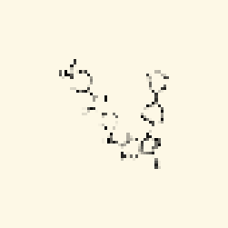 O=C(NC1CCS(=O)(=O)CC1)[C@@H]1CC[C@@H](Nc2ncc3c(Br)nn(-c4ccc(-c5cccnc5)cc4)c3n2)C1